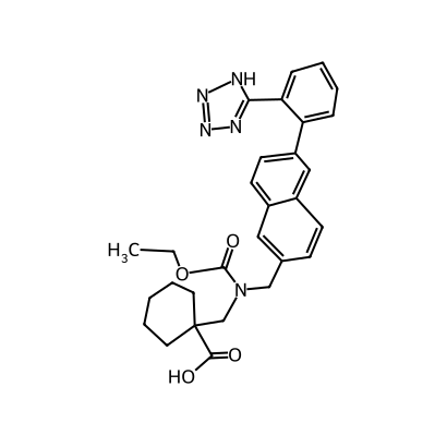 CCOC(=O)N(Cc1ccc2cc(-c3ccccc3-c3nnn[nH]3)ccc2c1)CC1(C(=O)O)CCCCC1